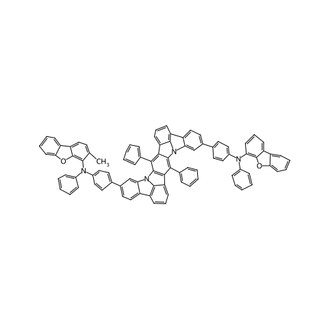 Cc1ccc2c(oc3ccccc32)c1N(c1ccccc1)c1ccc(-c2ccc3c4cccc5c6c(-c7ccccc7)c7c(c(-c8ccccc8)c6n(c3c2)c45)c2cccc3c4ccc(-c5ccc(N(c6ccccc6)c6cccc8c6oc6ccccc68)cc5)cc4n7c32)cc1